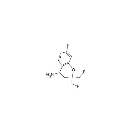 NC1CC(CF)(CF)Oc2cc(F)ccc21